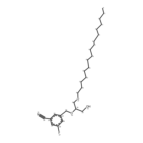 CCCCCCCCCCCCCCCCCOCC(CO)OCc1cc(F)cc(C#N)c1